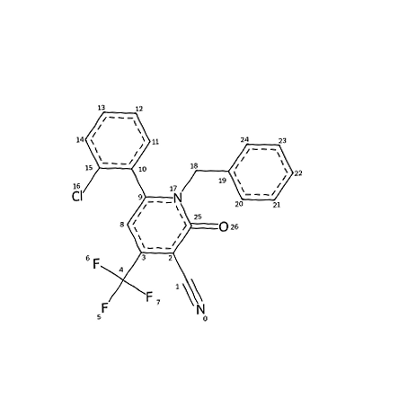 N#Cc1c(C(F)(F)F)cc(-c2ccccc2Cl)n(Cc2ccccc2)c1=O